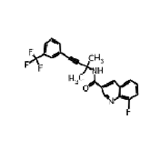 CC(C)(C#Cc1cccc(C(F)(F)F)c1)NC(=O)c1cnc2c(F)cccc2c1